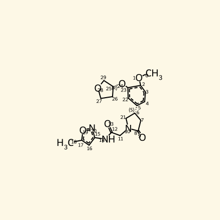 COc1ccc([C@@H]2CC(=O)N(CC(=O)Nc3cc(C)on3)C2)cc1O[C@@H]1CCOC1